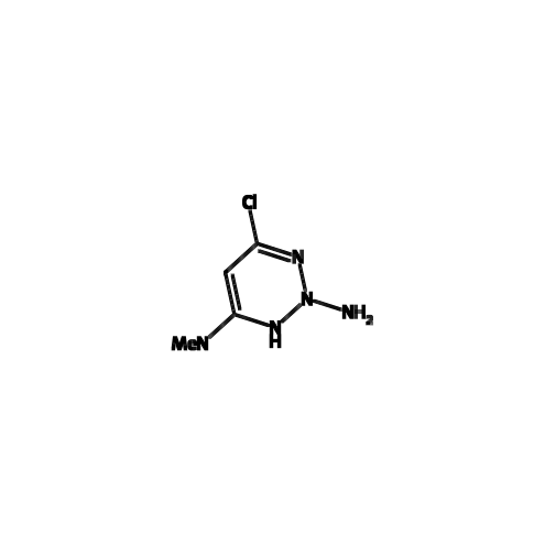 CNC1=CC(Cl)=NN(N)N1